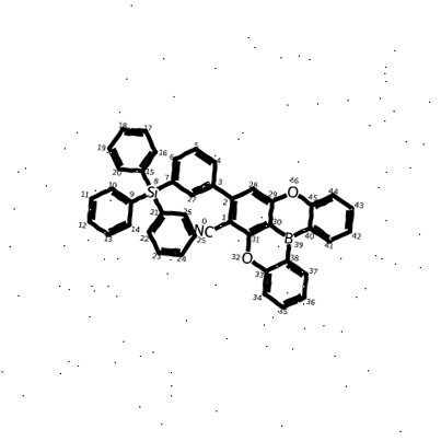 N#Cc1c(-c2cccc([Si](c3ccccc3)(c3ccccc3)c3ccccc3)c2)cc2c3c1Oc1ccccc1B3c1ccccc1O2